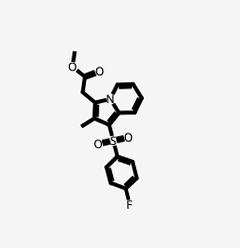 COC(=O)Cc1c(C)c(S(=O)(=O)c2ccc(F)cc2)c2ccccn12